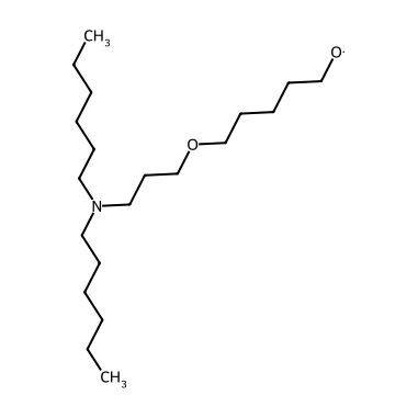 CCCCCCN(CCCCCC)CCCOCCCCC[O]